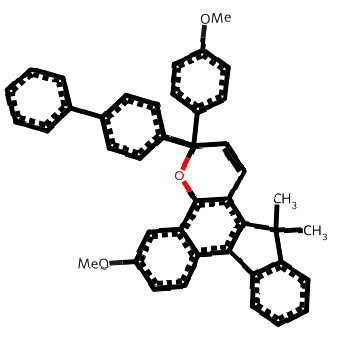 COc1ccc(C2(c3ccc(-c4ccccc4)cc3)C=Cc3c4c(c5ccc(OC)cc5c3O2)-c2ccccc2C4(C)C)cc1